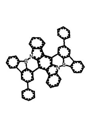 c1ccc(-c2cc3c4c(c2)-c2c5c6ccccc6n6c5c(c5c7ccccc7n(c25)B4c2ccccc2-3)-c2cc(-c3ccccc3)cc3c2B6c2ccccc2-3)cc1